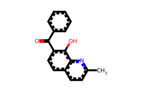 Cc1ccc2ccc(C(=O)c3ccccc3)c(O)c2n1